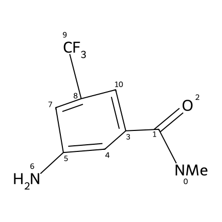 CNC(=O)c1cc(N)cc(C(F)(F)F)c1